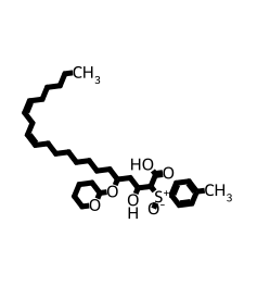 CCCCC/C=C\C/C=C\CCCCCCCC(CC(O)C(C(=O)O)[S+]([O-])c1ccc(C)cc1)OC1CCCCO1